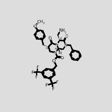 COc1ccc(C[C@H]2CN(C(=O)OCc3cc(C(F)(F)F)cc(C(F)(F)F)c3)[C@H]3CN(Cc4ccccc4)C(=O)[C@H](CN)N3C2=O)cc1